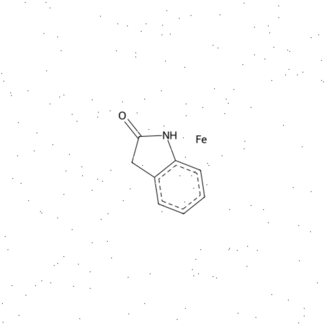 O=C1Cc2ccccc2N1.[Fe]